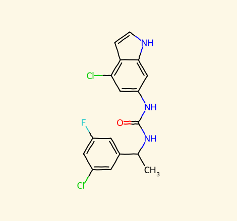 CC(NC(=O)Nc1cc(Cl)c2cc[nH]c2c1)c1cc(F)cc(Cl)c1